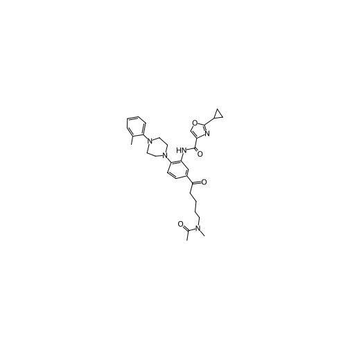 CC(=O)N(C)CCCCC(=O)c1ccc(N2CCN(c3ccccc3C)CC2)c(NC(=O)c2coc(C3CC3)n2)c1